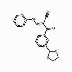 N#C/C(=C\Nc1ccccc1)C(=O)c1cccc(C2OCCO2)c1